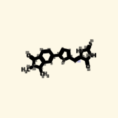 CC1c2cc(-c3ccc(/C=C4\NC(=S)NC4=O)s3)ccc2C(=O)N1C